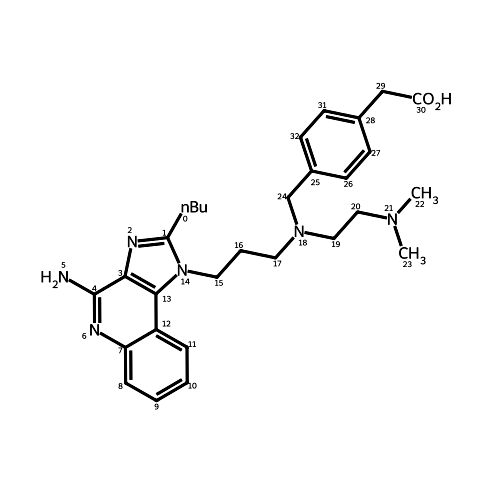 CCCCc1nc2c(N)nc3ccccc3c2n1CCCN(CCN(C)C)Cc1ccc(CC(=O)O)cc1